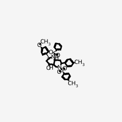 COc1ccc([C@@H]2CC(=O)[C@@H]3CN(S(=O)(=O)c4ccc(C)cc4)C(c4ccc(C)cc4)C[C@@H]3N2S(=O)(=O)c2ccccc2)cc1